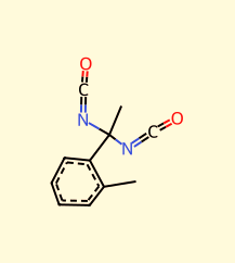 Cc1ccccc1C(C)(N=C=O)N=C=O